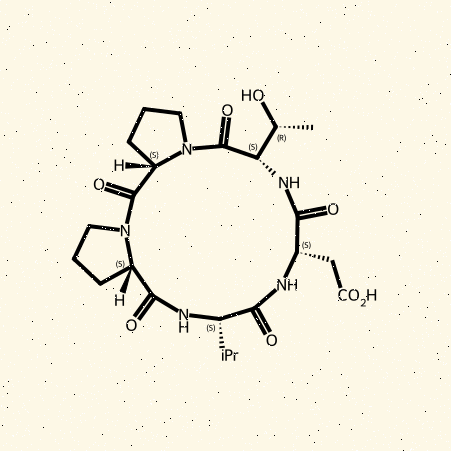 CC(C)[C@@H]1NC(=O)[C@@H]2CCCN2C(=O)[C@@H]2CCCN2C(=O)[C@H]([C@@H](C)O)NC(=O)[C@H](CC(=O)O)NC1=O